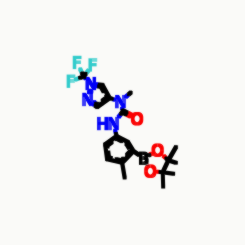 Cc1ccc(NC(=O)N(C)c2cnn(C(F)(F)F)c2)cc1B1OC(C)(C)C(C)(C)O1